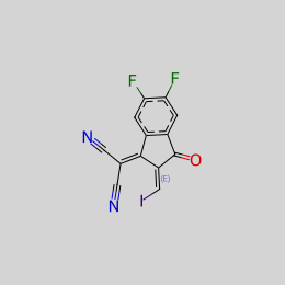 N#CC(C#N)=C1/C(=C\I)C(=O)c2cc(F)c(F)cc21